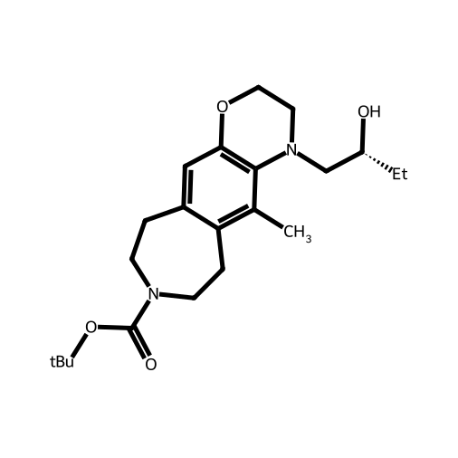 CC[C@@H](O)CN1CCOc2cc3c(c(C)c21)CCN(C(=O)OC(C)(C)C)CC3